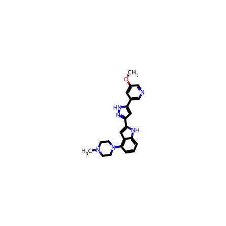 COc1cncc(-c2cc(-c3cc4c(N5CCN(C)CC5)cccc4[nH]3)n[nH]2)c1